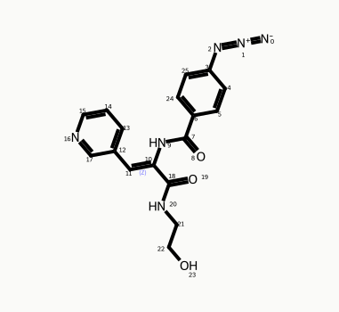 [N-]=[N+]=Nc1ccc(C(=O)N/C(=C\c2cccnc2)C(=O)NCCO)cc1